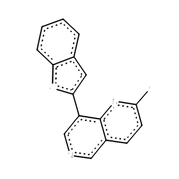 Clc1ccc2cncc(-c3cc4ccccc4o3)c2n1